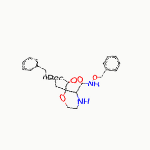 CCCCCCCCCCC(=O)C1(CCCCc2ccccc2)OCCNC1C(=O)NOCc1ccccc1